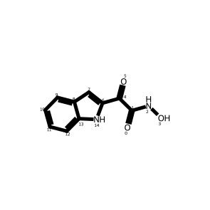 O=C(NO)C(=O)c1cc2ccccc2[nH]1